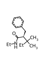 CCNC(=O)[C@@H](Cc1ccccc1)C(C)(C)CC